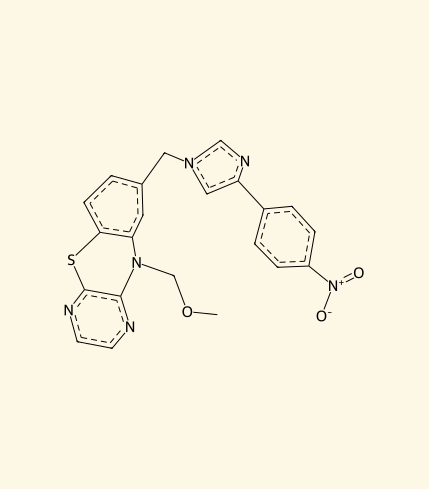 COCN1c2cc(Cn3cnc(-c4ccc([N+](=O)[O-])cc4)c3)ccc2Sc2nccnc21